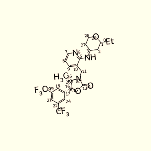 CCC1CC(Nc2ncccc2CN2C(=O)O[C@H](c3cc(C(F)(F)F)cc(C(F)(F)F)c3)[C@@H]2C)CCO1